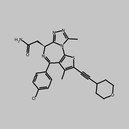 Cc1c(C#CC2CCOCC2)sc2c1C(c1ccc(Cl)cc1)=N[C@@H](CC(N)=O)c1nnc(C)n1-2